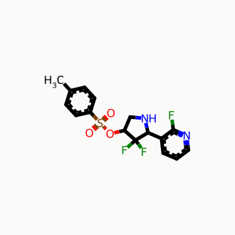 Cc1ccc(S(=O)(=O)OC2CNC(c3cccnc3F)C2(F)F)cc1